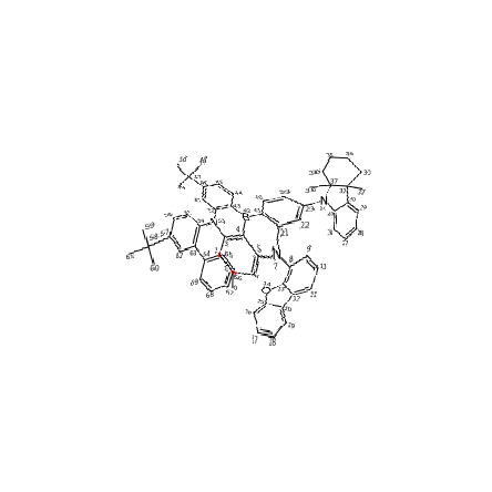 Cc1cc2c3c(c1)N(c1cccc4c1oc1ccccc14)c1cc(N4c5ccccc5C5(C)CCCCC45C)ccc1B3c1ccc(C(C)(C)C)cc1N2c1ccc(C(C)(C)C)cc1-c1ccccc1